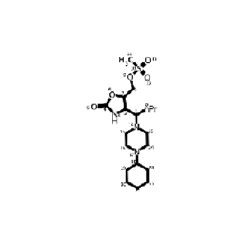 CCCC(C1NC(=O)OC1COS(C)(=O)=O)N1CCN(C2CCCCC2)CC1